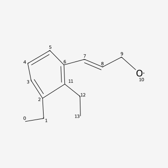 CCc1cccc(C=CC[O])c1CC